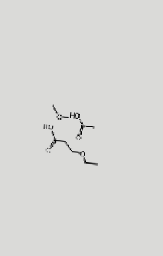 CC(=O)O.CCOCCC(=O)O.COC